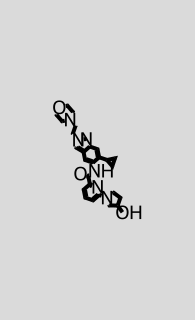 O=C(Nc1cc2cn(CCN3CCOCC3)nc2cc1C1CC1)c1cccc(N2CCC(O)C2)n1